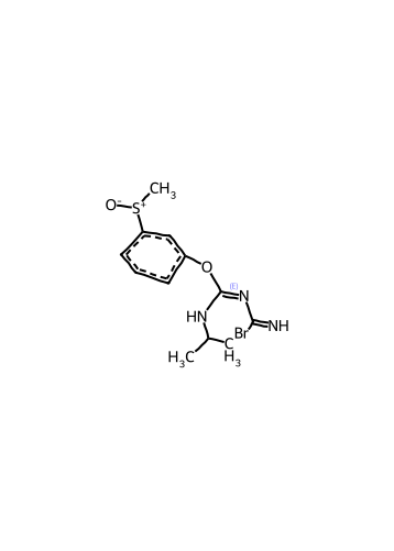 CC(C)N/C(=N\C(=N)Br)Oc1cccc([S+](C)[O-])c1